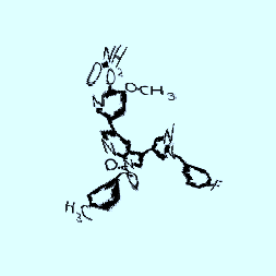 COc1cc(-c2cnc3c(c2)c(-c2cnn(Cc4cccc(F)c4)c2)cn3S(=O)(=O)c2ccc(C)cc2)cnc1OC(N)=O